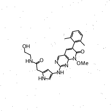 COn1c(=O)c(-c2c(C)cccc2C)cc2cnc(Nc3c[nH]c(CC(=O)NCCO)c3)nc21